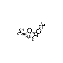 NC(=O)c1nc2ccc(OC(F)(F)F)cc2n1-c1cccc([C@@H]2C[C@H]2C(=O)O)n1